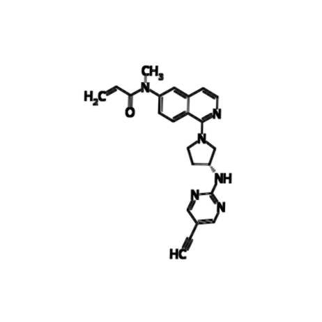 C#Cc1cnc(N[C@@H]2CCN(c3nccc4cc(N(C)C(=O)C=C)ccc34)C2)nc1